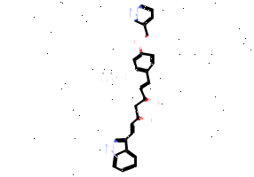 COc1cc(OCc2cccnc2)ccc1/C=C/C(=O)CC(=O)/C=C/c1c[nH]c2ccccc12